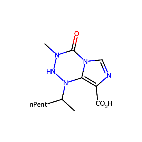 CCCCCC(C)N1NN(C)C(=O)n2cnc(C(=O)O)c21